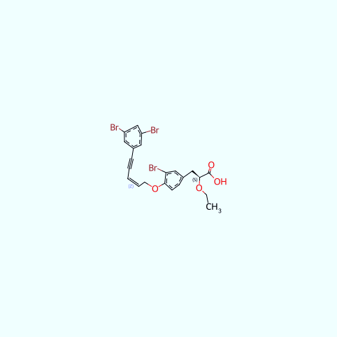 CCO[C@@H](Cc1ccc(OC/C=C\C#Cc2cc(Br)cc(Br)c2)c(Br)c1)C(=O)O